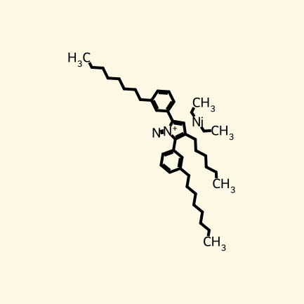 CCCCCCCCc1cccc(C2=CC(CCCCCC)=C(c3cccc(CCCCCCCC)c3)[N+]2=[N-])c1.C[CH2][Ni][CH2]C